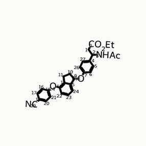 CCOC(=O)CC(NC(C)=O)c1ccc(O[C@@H]2CCc3c(Oc4ccc(C#N)cc4)cccc32)cc1